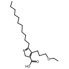 CCCCCCCCCCCC1=NCC(C(=O)O)=C1CCCOCC